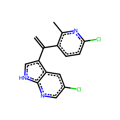 C=C(c1ccc(Cl)nc1C)c1c[nH]c2ncc(Cl)cc12